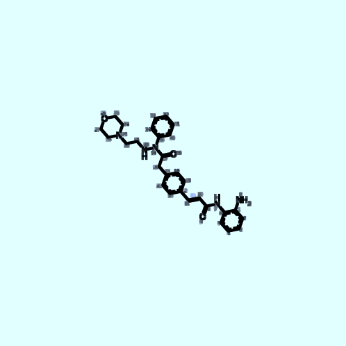 Nc1ccccc1NC(=O)/C=C/c1ccc(CC(=O)N(NCCN2CCOCC2)c2ccccc2)cc1